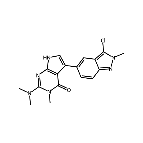 CN(C)c1nc2[nH]cc(-c3ccc4nn(C)c(Cl)c4c3)c2c(=O)n1C